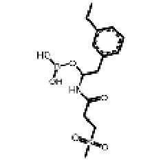 CCc1cccc(CC(NC(=O)CCS(C)(=O)=O)OB(O)O)c1